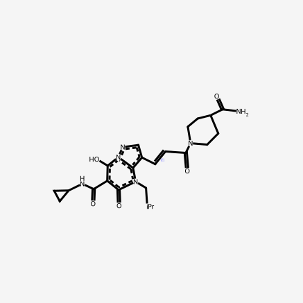 CC(C)Cn1c(=O)c(C(=O)NC2CC2)c(O)n2ncc(/C=C/C(=O)N3CCC(C(N)=O)CC3)c12